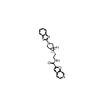 O=C(NCC[C@H]1C2CN(c3nc4ccccc4s3)C[C@@H]21)c1cc2ccncc2o1